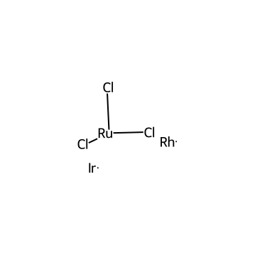 [Cl][Ru]([Cl])[Cl].[Ir].[Rh]